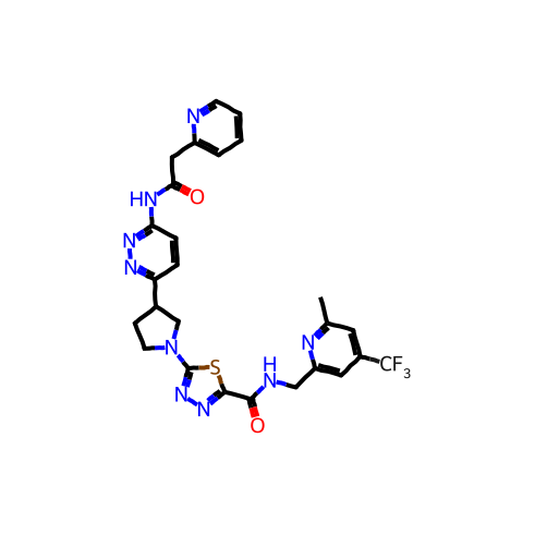 Cc1cc(C(F)(F)F)cc(CNC(=O)c2nnc(N3CCC(c4ccc(NC(=O)Cc5ccccn5)nn4)C3)s2)n1